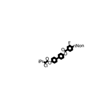 CCCCCCCCCc1ccc(C(=O)Oc2ccc(-c3ccc(OC(=O)C(Cl)C(C)C)cc3)cc2)cc1F